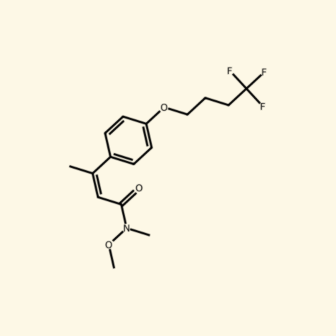 CON(C)C(=O)/C=C(/C)c1ccc(OCCCC(F)(F)F)cc1